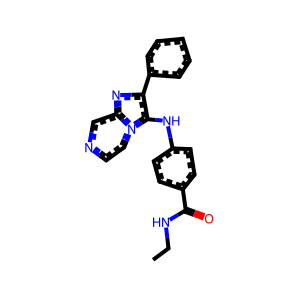 CCNC(=O)c1ccc(Nc2c(-c3ccccc3)nc3cnccn23)cc1